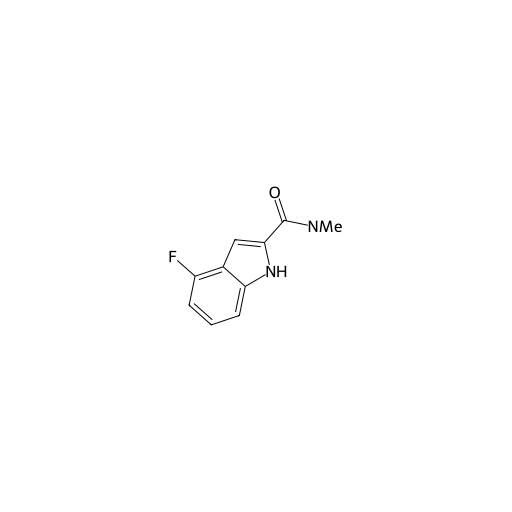 CNC(=O)c1cc2c(F)cccc2[nH]1